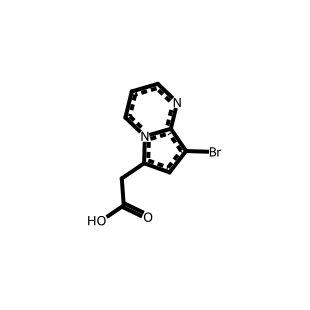 O=C(O)Cc1cc(Br)c2ncccn12